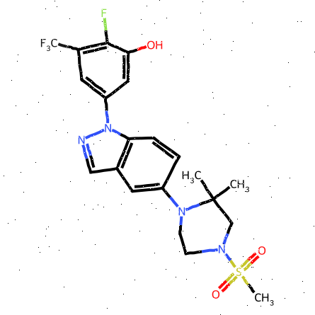 CC1(C)CN(S(C)(=O)=O)CCN1c1ccc2c(cnn2-c2cc(O)c(F)c(C(F)(F)F)c2)c1